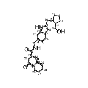 O=C(NCc1ccc2cc(CN3CCCC3CO)[nH]c2c1)c1cc(=O)n2ccccc2n1